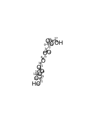 CC1(CCC(=O)OCCOCCOC(=O)CC2(C)OCC(CO)O2)OCC(CO)O1